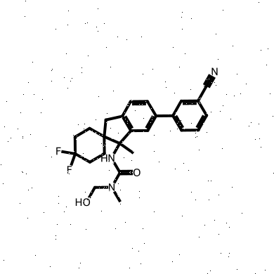 CN(CO)C(=O)NC1(C)c2cc(-c3cccc(C#N)c3)ccc2CC12CCC(F)(F)CC2